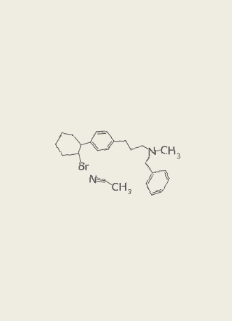 CC#N.CN(CCCc1ccc(C2CCCCC2Br)cc1)Cc1ccccc1